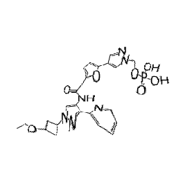 CCOC1CC(n2cc(NC(=O)c3ccc(-c4cnn(COP(=O)(O)O)c4)o3)c(-c3ccccn3)n2)C1